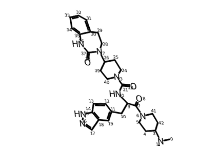 CN(C)C1CCN(C(=O)C(Cc2ccc3[nH]ncc3c2)NC(=O)N2CCC(N3CCc4ccccc4NC3=O)CC2)CC1